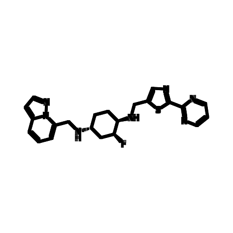 F[C@H]1C[C@H](NCc2cccc3ccnn23)CC[C@H]1NCc1cnc(-c2ncccn2)s1